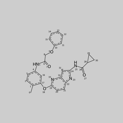 Cc1ccc(NC(=O)COc2ccccc2)cc1Oc1ccc2nc(NC(=O)C3CC3)sc2n1